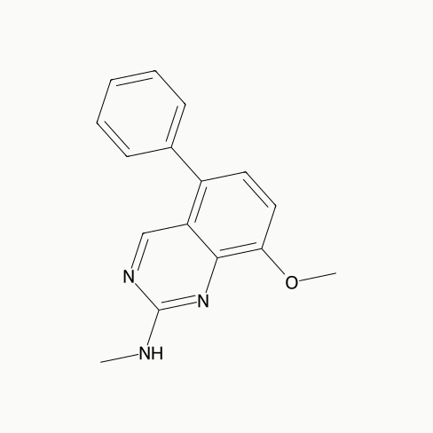 CNc1ncc2c(-c3ccccc3)ccc(OC)c2n1